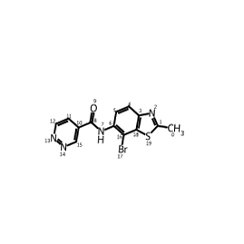 Cc1nc2ccc(NC(=O)c3ccnnc3)c(Br)c2s1